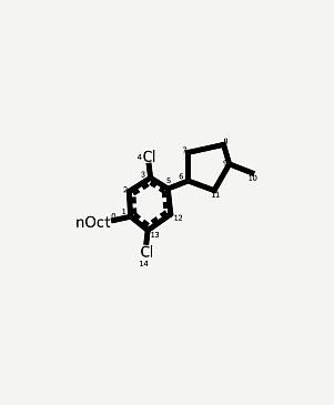 CCCCCCCCc1cc(Cl)c(C2CCC(C)C2)cc1Cl